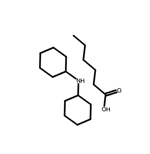 C1CCC(NC2CCCCC2)CC1.CCCCCC(=O)O